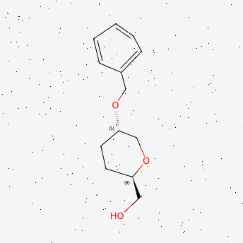 OC[C@H]1CC[C@H](OCc2ccccc2)CO1